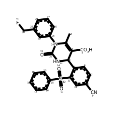 CC1=C(C(=O)O)C(c2ccc(C#N)cc2S(=O)(=O)c2ccccc2)NC(=O)N1c1cccc(CF)c1